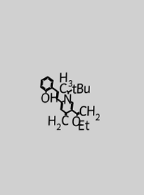 C=C1C=C(/C=C/c2ccccc2O)N(C(C)C(C)(C)C)C=C1C(=C)OCC